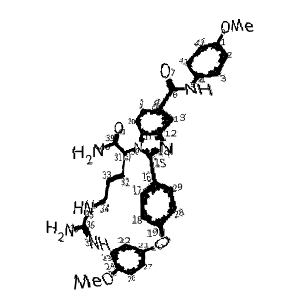 COc1ccc(NC(=O)c2ccc3c(c2)nc(-c2ccc(Oc4ccc(OC)cc4)cc2)n3[C@@H](CCCNC(=N)N)C(N)=O)cc1